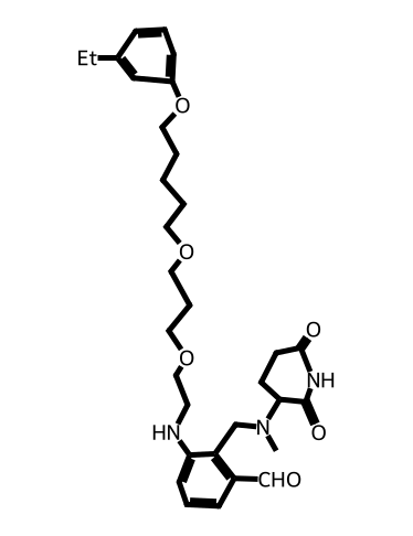 CCc1cccc(OCCCCCOCCCOCCNc2cccc(C=O)c2CN(C)C2CCC(=O)NC2=O)c1